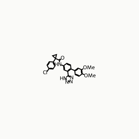 COc1ccc(-c2ccc(NC(=O)C3(c4ccc(Cl)cc4)CC3)cc2-c2nnn[nH]2)cc1OC